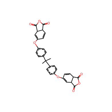 CC(C)(c1ccc(OC2=CC3C(=O)OC(=O)C3C=C2)cc1)c1ccc(OC2=CC3C(=O)OC(=O)C3C=C2)cc1